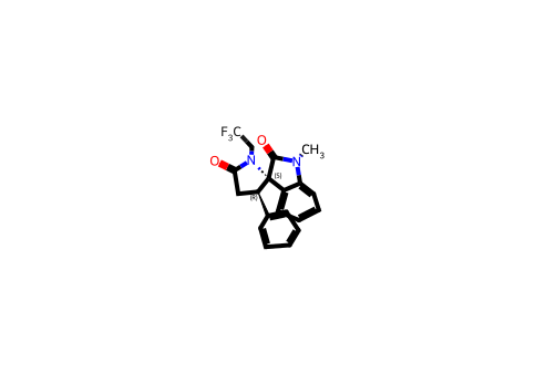 CN1C(=O)[C@@]2(c3ccccc31)[C@@H](c1ccccc1)CC(=O)N2CC(F)(F)F